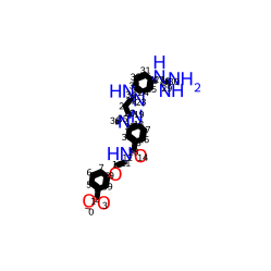 COC(=O)c1cccc(OCCNC(=O)c2ccc3nc(Cc4nc5cc(NC(=N)N)ccc5[nH]4)n(C)c3c2)c1